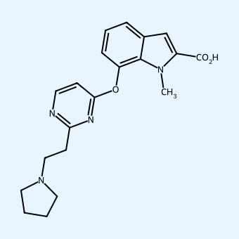 Cn1c(C(=O)O)cc2cccc(Oc3ccnc(CCN4CCCC4)n3)c21